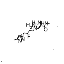 CNC(=O)/C(N)=C/N(N)CCC(F)Cn1cc(C)nn1